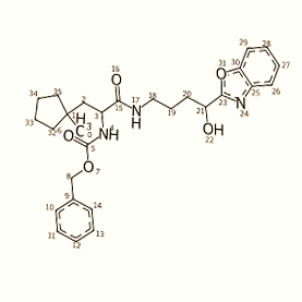 CC1(CC(NC(=O)OCc2ccccc2)C(=O)NCCCC(O)c2nc3ccccc3o2)CCCC1